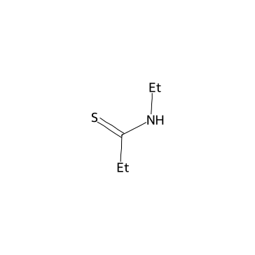 CCNC(=S)CC